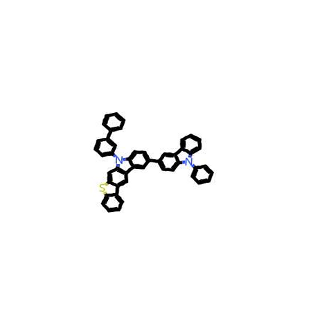 c1ccc(-c2cccc(-n3c4ccc(-c5ccc6c(c5)c5ccccc5n6-c5ccccc5)cc4c4cc5c(cc43)sc3ccccc35)c2)cc1